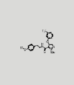 CCOc1ccc(CCNC(=O)c2c(Oc3cccc(C(F)(F)F)c3)cnn2C(C)(C)C)cc1